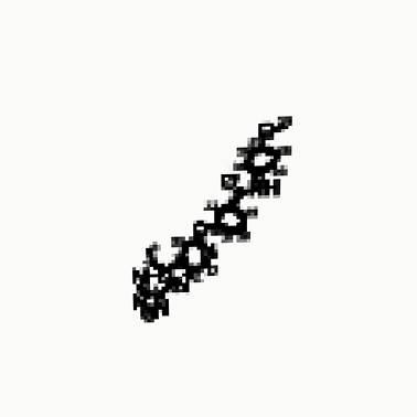 CCn1c(-c2nonc2N)nc2cnc(Oc3cccc(C(=O)Nc4ccc(OC)cc4)c3)cc21